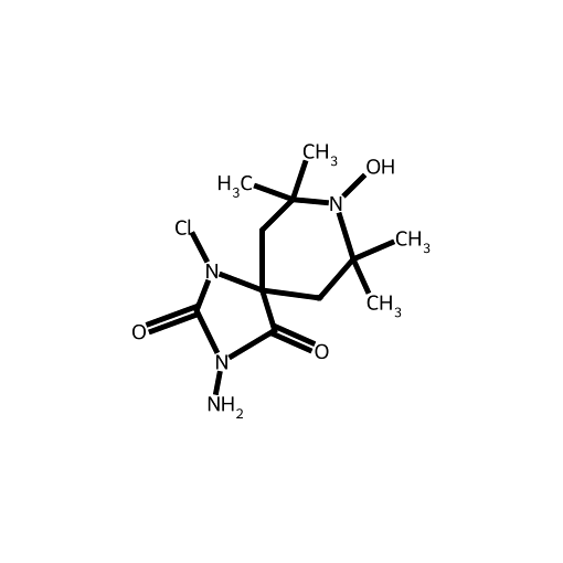 CC1(C)CC2(CC(C)(C)N1O)C(=O)N(N)C(=O)N2Cl